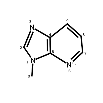 Cn1cnc2c1[N+]=CC=C2